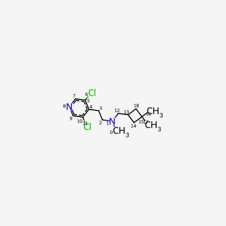 CN(CCc1c(Cl)cncc1Cl)CC1CC(C)(C)C1